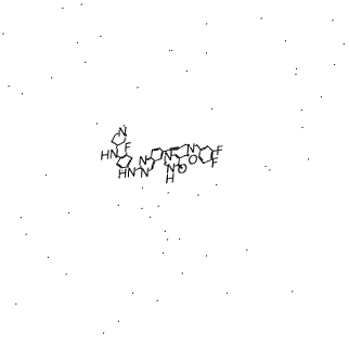 CN1CCC(Nc2ccc(Nc3ncc4cc(C#CCN(Cc5ccc(F)c(F)c5)C(=O)c5cnc[nH]c5=O)ccc4n3)cc2F)CC1